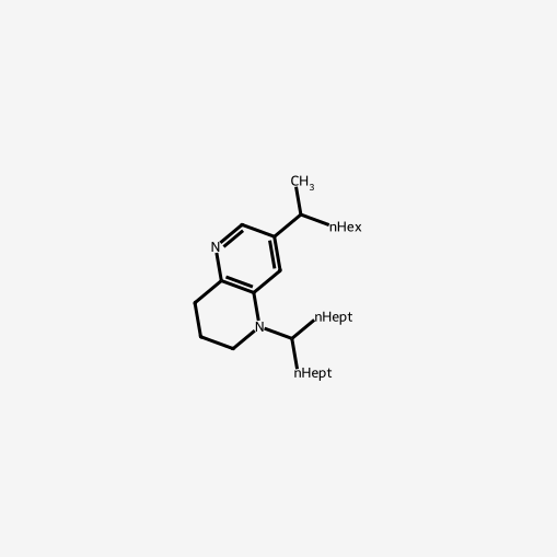 CCCCCCCC(CCCCCCC)N1CCCc2ncc(C(C)CCCCCC)cc21